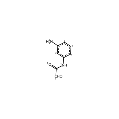 Nc1cccc(NC(=O)C=O)c1